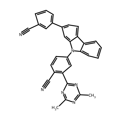 Cc1nc(C)nc(-c2cc(-n3c4ccccc4c4ccc(-c5cccc(C#N)c5)cc43)ccc2C#N)n1